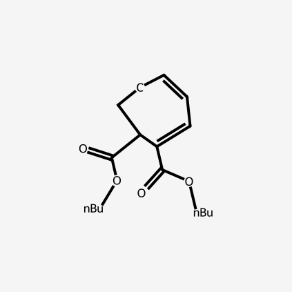 CCCCOC(=O)C1=CC=CCCC1C(=O)OCCCC